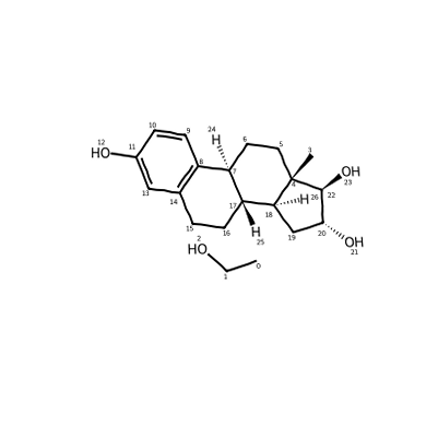 CCO.C[C@]12CC[C@@H]3c4ccc(O)cc4CC[C@H]3[C@@H]1C[C@@H](O)[C@@H]2O